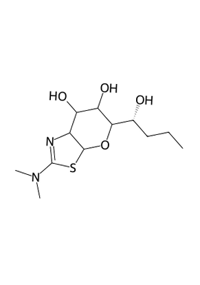 CCC[C@@H](O)C1OC2SC(N(C)C)=NC2C(O)C1O